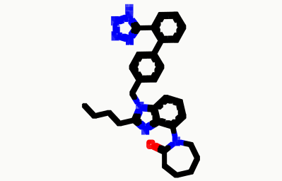 CCCCc1nc2c(N3CCCCCC3=O)cccc2n1Cc1ccc(-c2ccccc2-c2nnn[nH]2)cc1